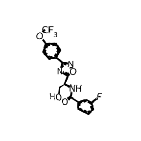 O=C(N[C@@H](CO)c1nc(-c2ccc(OC(F)(F)F)cc2)no1)c1cccc(F)c1